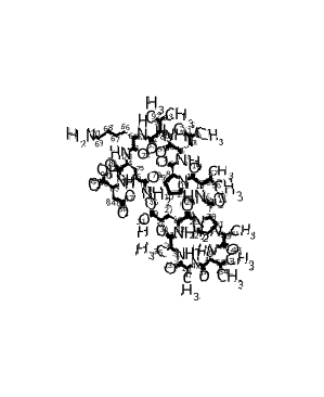 CC(C)C[C@H](NC(=O)[C@@H]1CCCN1C(=O)[C@@H](NC(=O)[C@@H]1CCCN1C(=O)[C@H](CCC(=O)O)NC(=O)[C@H](C)NC(=O)[C@H](C)NC(=O)[C@@H](NC(=O)[C@H](C)N)C(C)C)C(C)C)C(=O)N[C@H](C(=O)N[C@@H](CCCCN)C(=O)N[C@@H](CCC(N)=O)C(=O)N[C@@H](CC(=O)O)C(=O)O)C(C)C